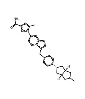 Cc1cc(C(N)=O)nn1-c1ccc2c(ccn2Cc2ccc([C@@H]3C[C@@H]4CN(C)C[C@@H]4C3)cc2)c1